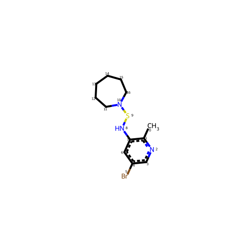 Cc1ncc(Br)cc1NSN1CCCCCC1